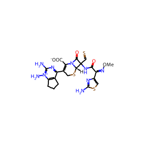 CO/N=C(\C(=O)NC1(C=S)C(=O)N2C(C(=O)[O-])=C(c3nc(N)[n+](N)c4c3CCC4)CS[C@H]21)c1csc(N)n1